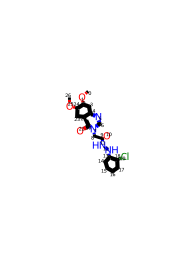 COc1cc2ncn(CC(=O)NNc3ccccc3Cl)c(=O)c2cc1OC